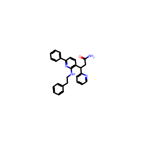 NC(=O)CC(c1ccccn1)c1ccc(-c2ccccc2)nc1NCCc1ccccc1